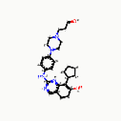 O=CCCN1CCN(c2ccc(Nc3ncc4c(n3)C(C3CCCC3)=C(O)CC4)cc2)CC1